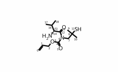 C=CCOC(=O)N(CC(C)(C)S)C(=O)[C@@H](N)C(C)C